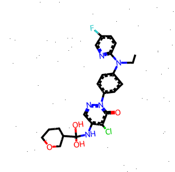 CCN(c1ccc(-n2ncc(NC(O)(O)C3CCCOC3)c(Cl)c2=O)cc1)c1ccc(F)cn1